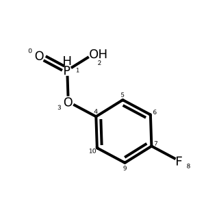 O=[PH](O)Oc1ccc(F)cc1